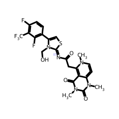 CN1C=C=c2c(c(=O)n(C)c(=O)n2C)=C1CC(=O)/N=c1\scc(-c2ccc(F)c(C(F)(F)F)c2F)n1CO